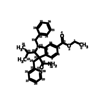 CCOC(=O)c1ccc2c(c1)N(Cc1ccccc1)C(C(C)C)C2(Cc1ccccn1)C(N)=O